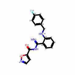 N=C(NC(=O)c1ccno1)c1ccccc1NCc1ccc(F)cc1